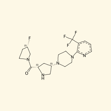 O=C([C@@H]1C[C@H](N2CCN(c3ncccc3C(F)(F)F)CC2)CN1)N1CC[C@H](F)C1